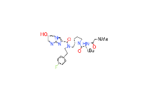 CNCC(=O)NC(C(=O)N1CCCC1CN(CCc1ccc(F)cc1)C(=O)c1cn2cc(O)cnc2n1)C(C)(C)C